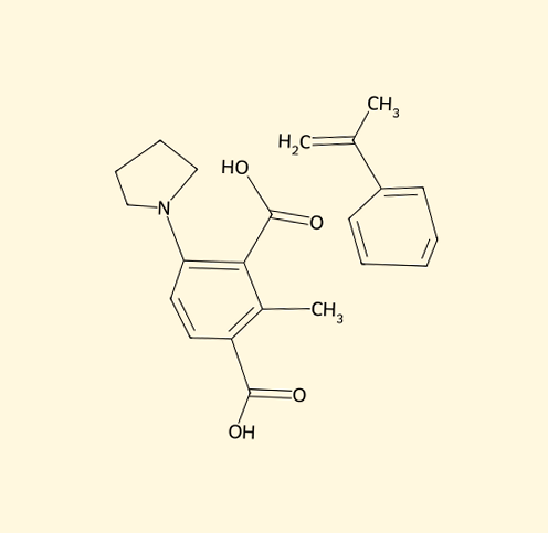 C=C(C)c1ccccc1.Cc1c(C(=O)O)ccc(N2CCCC2)c1C(=O)O